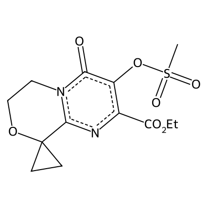 CCOC(=O)c1nc2n(c(=O)c1OS(C)(=O)=O)CCOC21CC1